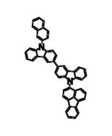 c1ccc2c(c1)-c1cccc3c(-n4c5ccccc5c5cc(-c6ccc7c(c6)c6ccccc6n7-c6ccc7ccccc7c6)ccc54)ccc-2c13